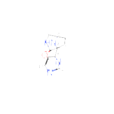 O=C1CCC2CCC1(c1ccn[c]n1)N2